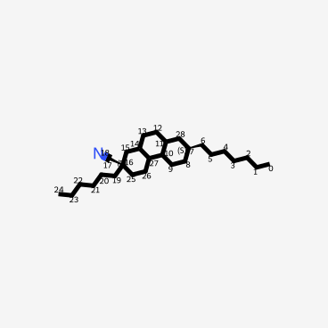 CCCCCCC[C@H]1CCC2C(CCC3C[C@@](C#N)(CCCCCC)CCC32)C1